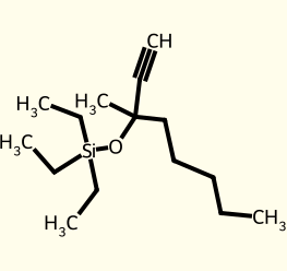 C#CC(C)(CCCCC)O[Si](CC)(CC)CC